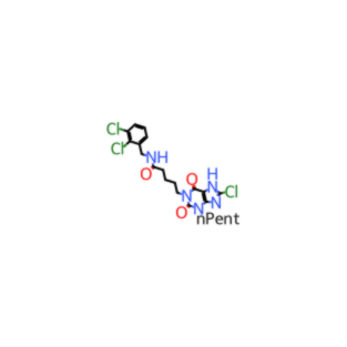 CCCCCn1c(=O)n(CCCCC(=O)NCc2cccc(Cl)c2Cl)c(=O)c2[nH]c(Cl)nc21